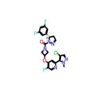 Cn1ncc(Cl)c1-c1cc(OC2CN(C(=O)N3N=CC[C@H]3c3cc(F)cc(F)c3)C2)c(F)cn1